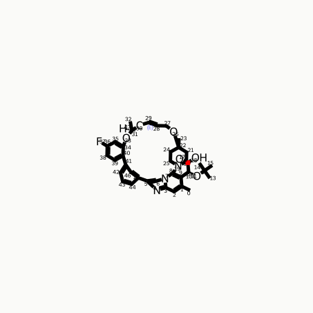 Cc1cc2nc3cn2c(c1[C@H](OC(C)(C)C)C(=O)O)N1CCC(C)(CC1)OC/C=C/C[C@H](C)Oc1cc(F)ccc1-c1cccc-3c1